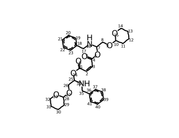 O=C(/C=C\C(=O)OC(COC1CCCCO1)NCc1ccccc1)OC(COC1CCCCO1)NCc1ccccc1